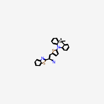 C[Si]1(C)c2ccccc2N(c2ccc(/C=C(\C#N)c3nc4ccccc4s3)s2)c2ccccc21